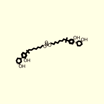 CC(C)(CCCCCCCO[N+](=O)OCCCCCCCC(C)(C)c1ccc([C@H]2CCC[C@@H](O)C2)c(O)c1)c1ccc([C@H]2CCC[C@@H](O)C2)c(O)c1